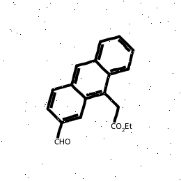 CCOC(=O)Cc1c2ccccc2cc2ccc(C=O)cc12